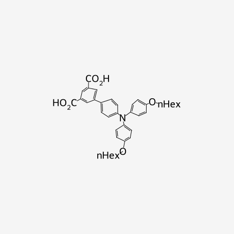 CCCCCCOc1ccc(N(c2ccc(OCCCCCC)cc2)c2ccc(-c3cc(C(=O)O)cc(C(=O)O)c3)cc2)cc1